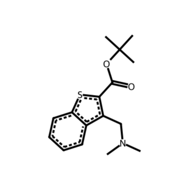 CN(C)Cc1c(C(=O)OC(C)(C)C)sc2ccccc12